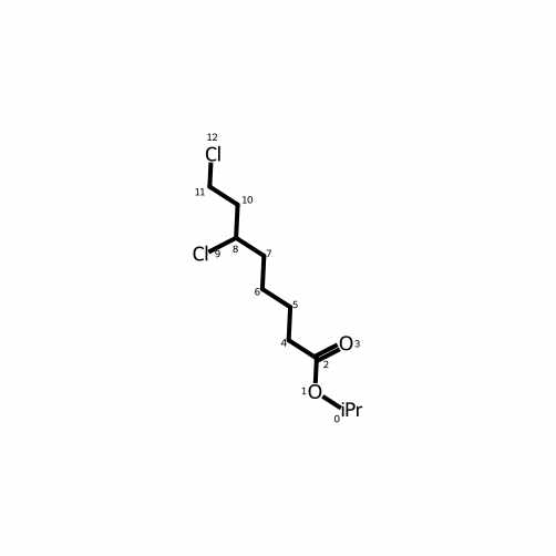 CC(C)OC(=O)CCCCC(Cl)CCCl